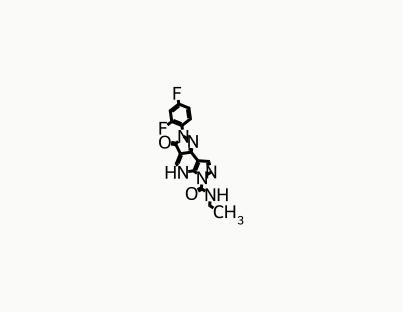 CCNC(=O)n1ncc2c3nn(-c4ccc(F)cc4F)c(=O)c-3c[nH]c21